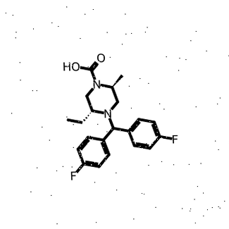 CC[C@@H]1CN(C(=O)O)[C@@H](C)CN1C(c1ccc(F)cc1)c1ccc(F)cc1